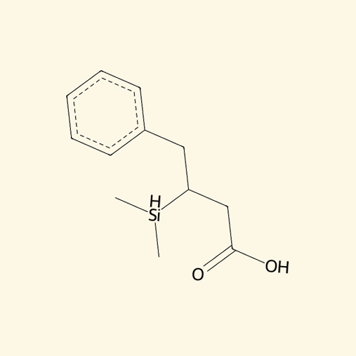 C[SiH](C)C(CC(=O)O)Cc1ccccc1